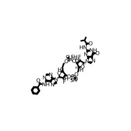 CC(C)C(=O)Nc1nc2c(ncn2[C@@H]2O[C@@H]3CO[P@@](=O)(S)O[C@H]4[C@@H](F)[C@H](n5cnc6c(NC(=O)c7ccccc7)ncnc65)O[C@@H]4CCO[P@@](=O)(S)O[C@H]3[C@H]2F)c(=O)[nH]1